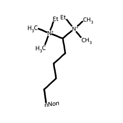 CCCCCCCCCCCCCC([N+](C)(C)CC)[N+](C)(C)CC